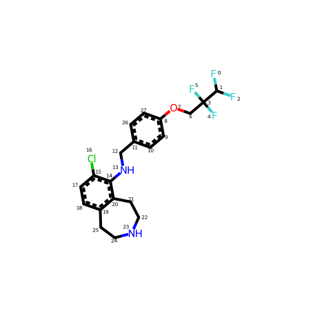 FC(F)C(F)(F)COc1ccc(CNc2c(Cl)ccc3c2CCNCC3)cc1